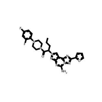 CCCC(C(=O)N1CCN(c2ccc(F)cc2F)CC1)n1cc2c(nc(N)n3nc(-c4ccco4)nc23)n1